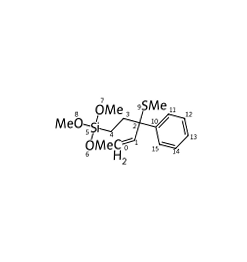 C=CC(CC[Si](OC)(OC)OC)(SC)c1ccccc1